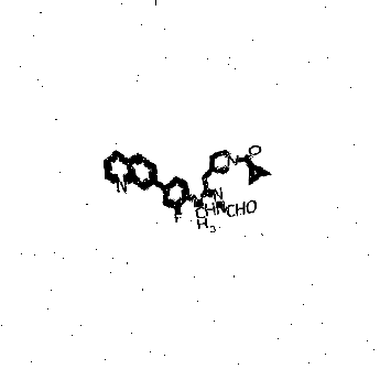 CN(/C(CC1CCN(C(=O)C2CC2)C1)=N\NC=O)c1ccc(-c2ccc3cccnc3c2)cc1F